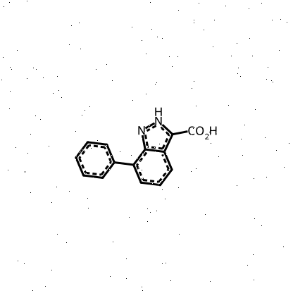 O=C(O)c1[nH]nc2c(-c3ccccc3)cccc12